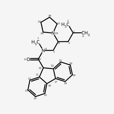 CC(C)CC(CN(C)C(=O)C1c2ccccc2-c2ccccc21)N1CCCC1